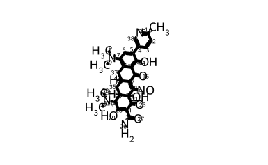 Cc1ccc(-c2cc(N(C)C)c3c(c2O)C(=O)C2=C(N=O)[C@]4(O)C(=O)C(C(N)=O)=C(O)[C@@H](N(C)C)[C@@H]4C[C@@H]2C3)cn1